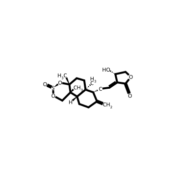 C=C1CC[C@H]2[C@@](C)(CC[C@@]3(C)O[S@](=O)OC[C@@]23C)[C@@H]1C/C=C1/C(=O)OC[C@H]1O